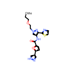 COCCOCCn1cc(NC(=O)c2ccc(-c3cn[nH]c3)o2)c(-c2nccs2)n1